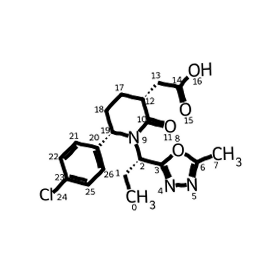 CC[C@@H](c1nnc(C)o1)N1C(=O)[C@@H](CC(=O)O)CC[C@H]1c1ccc(Cl)cc1